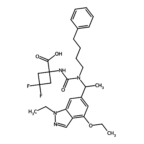 CCOc1cc(C(C)N(CCCCc2ccccc2)C(=O)NC2(C(=O)O)CC(F)(F)C2)cc2c1cnn2CC